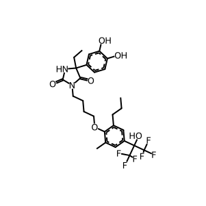 CCCc1cc(C(O)(C(F)(F)F)C(F)(F)F)cc(C)c1OCCCCN1C(=O)NC(CC)(c2ccc(O)c(O)c2)C1=O